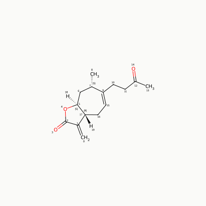 C=C1C(=O)O[C@H]2C[C@H](C)C(CCC(C)=O)=CC[C@H]12